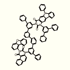 O=c1c2cc3c(cc2n(-c2cc(-c4ccccc4)cc(-c4ccccc4)c2)c(=O)n1-c1cc(-c2ccccc2)cc(-c2cccc(-c4cccc(-c5cc(-c6ccccc6)cc(-n6c(=O)n(-c7cccc8oc9ccccc9c78)c(=O)c7c8ccccc8ccc76)c5)c4)c2)c1)c1ccccc1n3-c1ccccc1